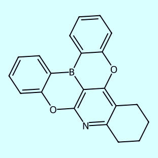 c1ccc2c(c1)Oc1nc3c(c4c1B2c1ccccc1O4)CCCC3